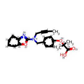 CC#CCN(Cc1ccc(OC(C)(C)C(=O)O)cc1)c1nc2ccccc2o1